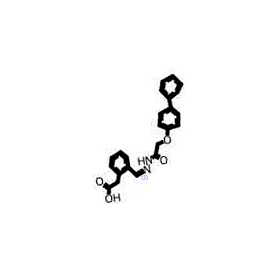 O=C(O)Cc1ccccc1/C=N\NC(=O)COc1ccc(-c2ccccc2)cc1